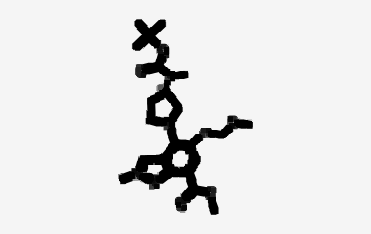 COCOc1cc(C(=O)OC)c2nn(C)cc2c1N1CC[C@H](N(C)C(=O)OC(C)(C)C)C1